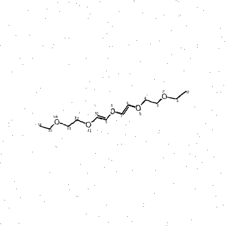 CCOCCOC=COC=COCCOCC